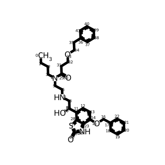 CCCCN(CCNC[C@H](O)c1ccc(OCc2ccccc2)c2[nH]c(=O)sc12)C(=O)CCOCCc1ccccc1